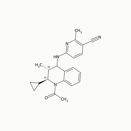 CC(=O)N1c2ccccc2C(Nc2ccc(C#N)c(C)n2)[C@@H](C)[C@@H]1C1CC1